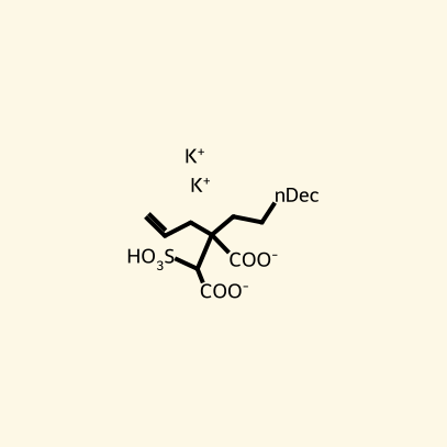 C=CCC(CCCCCCCCCCCC)(C(=O)[O-])C(C(=O)[O-])S(=O)(=O)O.[K+].[K+]